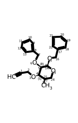 C#CCO[C@@H]1[C@@H](OCc2ccccc2)[C@@H](OCc2ccccc2)OC[C@H]1C